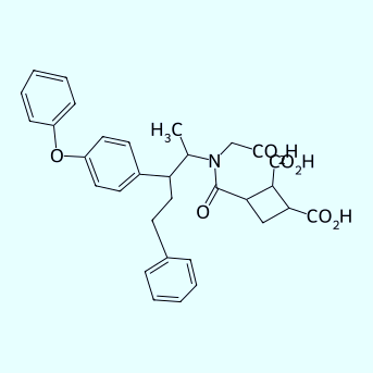 CC(C(CCc1ccccc1)c1ccc(Oc2ccccc2)cc1)N(CC(=O)O)C(=O)C1CC(C(=O)O)C1C(=O)O